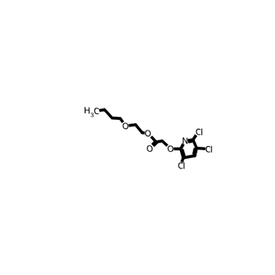 CCCCOCCOC(=O)COc1nc(Cl)c(Cl)cc1Cl